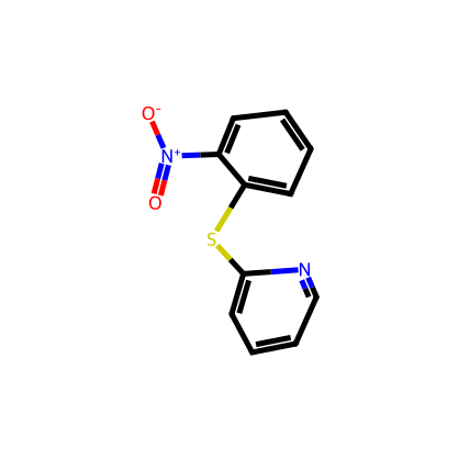 O=[N+]([O-])c1ccccc1Sc1ccccn1